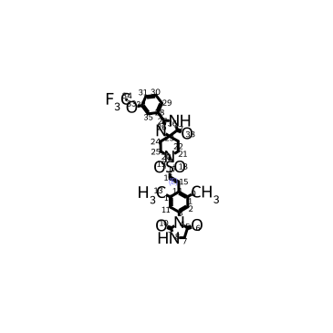 Cc1cc(N2C(=O)CNC2=O)cc(C)c1/C=C/S(=O)(=O)N1CCC2(CC1)N=C(c1cccc(OC(F)(F)F)c1)NC2=O